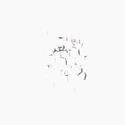 COC(=O)CC1C2(C)CC34OC5(C)OC6(C7/C(=C(/O)C(C)C)C(=O)OC(c8ccoc8)C7(C)C(OC(=O)C(C)C)C(OC)C6(O5)C13C)C(OC)C4(OC)C2OC(C)=O